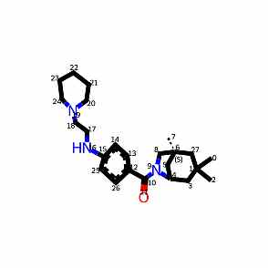 CC1(C)CC2C[C@@](C)(CN2C(=O)c2ccc(NCCN3CCCCC3)cc2)C1